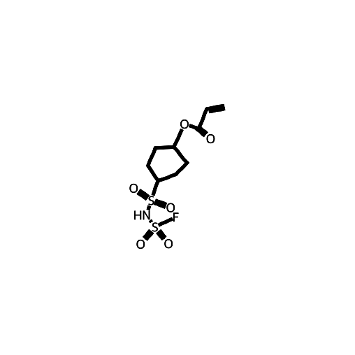 C=CC(=O)OC1CCC(S(=O)(=O)NS(=O)(=O)F)CC1